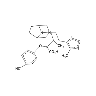 Cc1ncsc1CCN1CC2CCC(C1)N2CC(C)N(Oc1ccc(C#N)cc1)C(=O)O